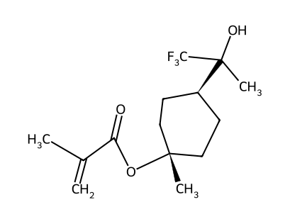 C=C(C)C(=O)O[C@]1(C)CC[C@@H](C(C)(O)C(F)(F)F)CC1